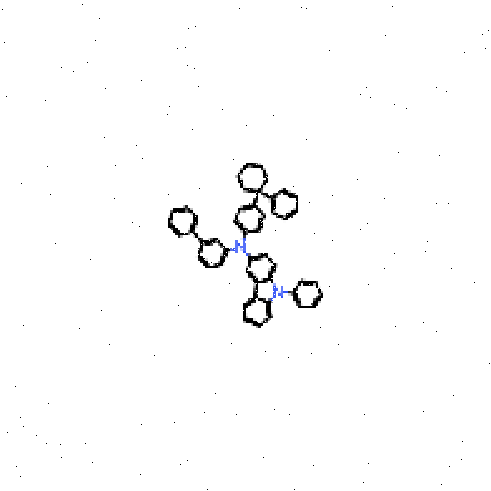 c1ccc(-c2cccc(N(c3ccc(C4(c5ccccc5)CCCCC4)cc3)c3ccc4c(c3)c3ccccc3n4-c3ccccc3)c2)cc1